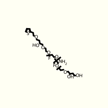 CC(C)(CCOCC(O)CCO)OCC(C)(CF)C(C)(N)OCCC(C)(F)OCCOCC(O)CCOCCc1cccs1